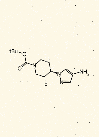 CC(C)(C)OC(=O)N1CC[C@@H](n2cc(N)cn2)[C@H](F)C1